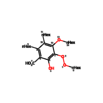 CCCCCCOOc1c(O)c(C(=O)O)c(CCCCCC)c(CCCCCC)c1OCCCCCC